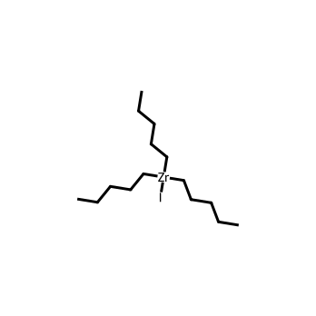 CCCC[CH2][Zr]([I])([CH2]CCCC)[CH2]CCCC